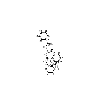 C[Si]1(C)CCCCN1N=C(CC(=O)CC(=O)c1ccccc1)c1ccccc1